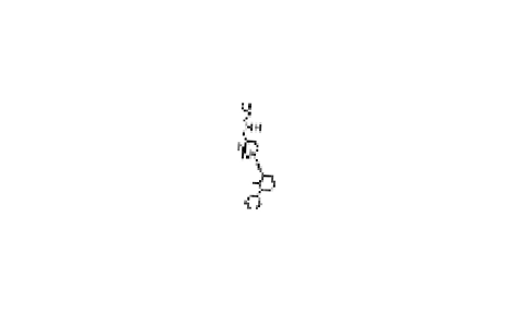 Cc1c(C#Cc2ccc(CNCC=O)nn2)cccc1-c1ccccc1